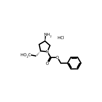 Cl.N[C@@H]1C[C@@H](CC(=O)O)N(C(=O)OCc2ccccc2)C1